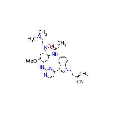 C=CC(=O)Nc1cc(Nc2nccc(-c3cn(CCC(=C)C#N)c4ccccc34)n2)c(OC)cc1N(C)CCN(C)C